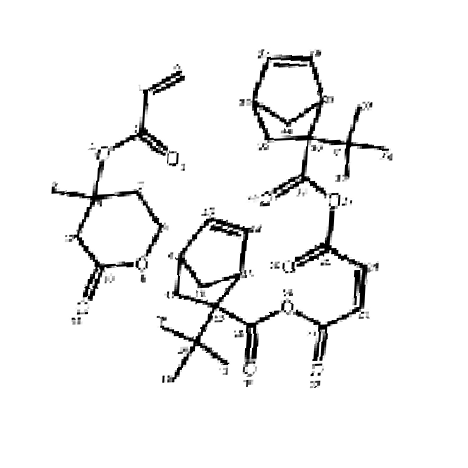 C=CC(=O)OC1(C)CCOC(=O)C1.CC(C)(C)C1(C(=O)OC(=O)/C=C\C(=O)OC(=O)C2(C(C)(C)C)CC3C=CC2C3)CC2C=CC1C2